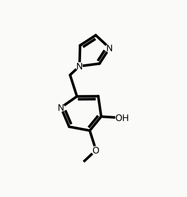 COc1cnc(Cn2ccnc2)cc1O